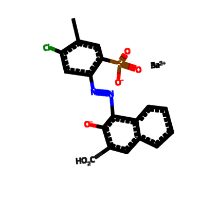 Cc1cc(S(=O)(=O)[O-])c(N=Nc2c([O-])c(C(=O)O)cc3ccccc23)cc1Cl.[Ba+2]